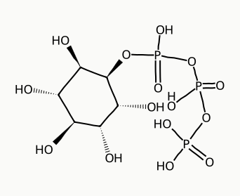 O=P(O)(O)OP(=O)(O)OP(=O)(O)O[C@H]1[C@H](O)[C@H](O)[C@@H](O)[C@H](O)[C@H]1O